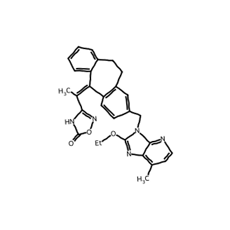 CCOc1nc2c(C)ccnc2n1Cc1ccc2c(c1)CCc1ccccc1C2=C(C)c1noc(=O)[nH]1